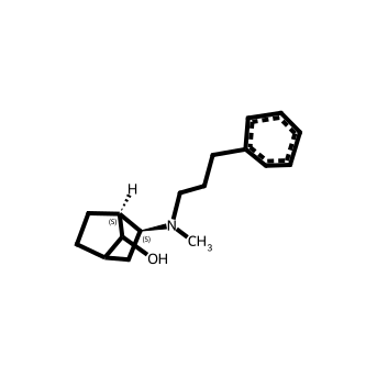 CN(CCCc1ccccc1)[C@H]1CC2CC[C@@H]1C2O